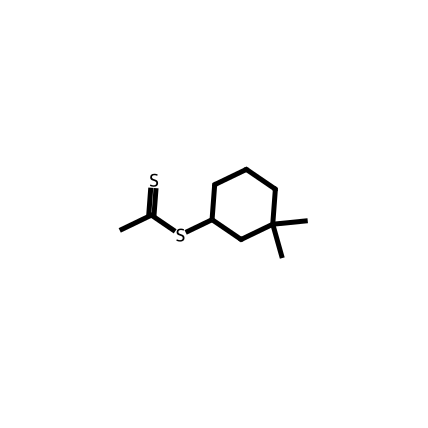 CC(=S)SC1CCCC(C)(C)C1